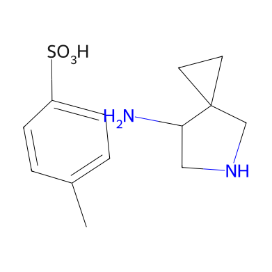 Cc1ccc(S(=O)(=O)O)cc1.NC1CNCC12CC2